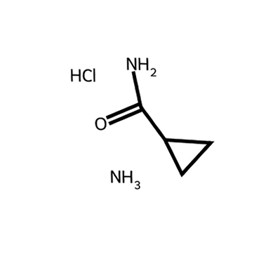 Cl.N.NC(=O)C1CC1